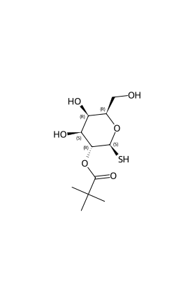 CC(C)(C)C(=O)O[C@@H]1[C@@H](O)[C@@H](O)[C@@H](CO)O[C@H]1S